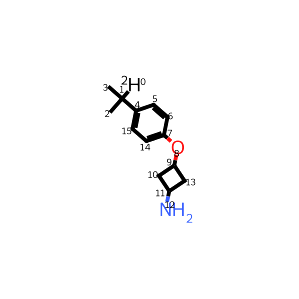 [2H]C(C)(C)c1ccc(OC2CC(N)C2)cc1